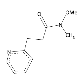 CON(C)C(=O)CCc1ccccn1